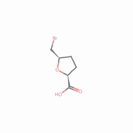 O=C(O)[C@@H]1CC[C@H](CBr)O1